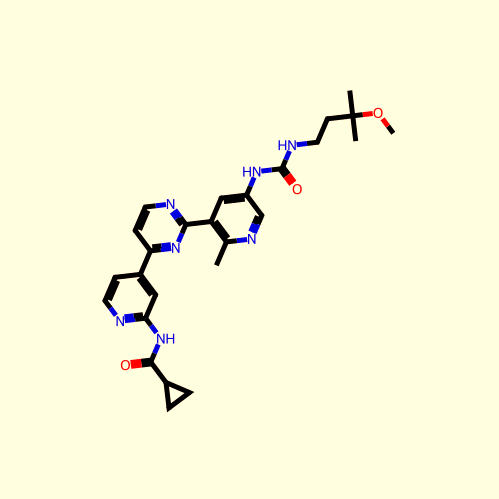 COC(C)(C)CCNC(=O)Nc1cnc(C)c(-c2nccc(-c3ccnc(NC(=O)C4CC4)c3)n2)c1